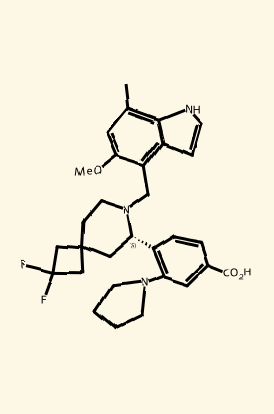 COc1cc(C)c2[nH]ccc2c1CN1CCC2(C[C@H]1c1ccc(C(=O)O)cc1N1CCCC1)CC(F)(F)C2